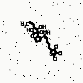 C/C=C\C[C@@H](O)C(O)(C(=O)O)C1CCC[C@@H]1/C(O)=C\CCCc1sc(Cl)c(Cl)c1Cl